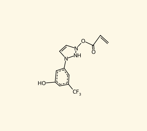 C=CC(=O)ON1C=CN(c2cc(O)cc(C(F)(F)F)c2)N1